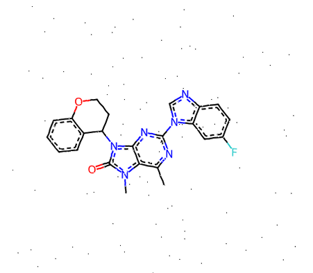 Cc1nc(-n2cnc3ccc(F)cc32)nc2c1n(C)c(=O)n2C1CCOc2ccccc21